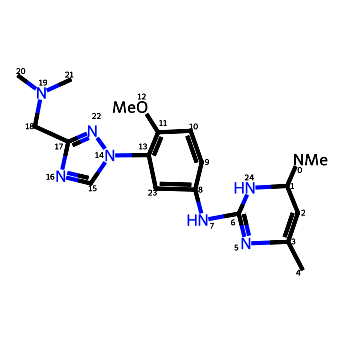 CNC1C=C(C)N=C(Nc2ccc(OC)c(-n3cnc(CN(C)C)n3)c2)N1